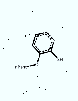 CCCCCOc1cccnc1S